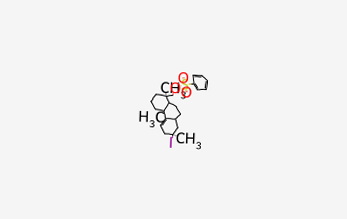 C[C@]1(I)CC=C2C(CCC3[C@](C)(COS(=O)(=O)c4ccccc4)CCC[C@@]23C)C1